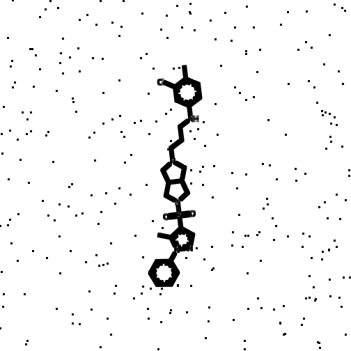 Cc1ccc(NCCCN2CC3CN(S(=O)(=O)c4cnn(-c5ccccc5)c4C)CC3C2)cc1Cl